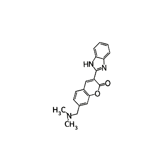 CN(C)Cc1ccc2cc(-c3nc4ccccc4[nH]3)c(=O)oc2c1